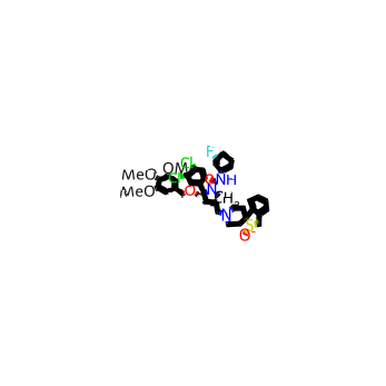 COc1cc(COC[C@](CCCN2CCC3(CC2)c2ccccc2C[S+]3[O-])(c2ccc(Cl)c(Cl)c2)N(C)C(=O)Nc2cccc(F)c2)cc(OC)c1OC